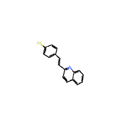 Sc1ccc(C=Cc2ccc3ccccc3n2)cc1